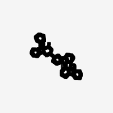 CC1CC(c2ccc3c(c2)c2ccccc2n3-c2cccc3c2oc2ccccc23)=Cc2c1n(-c1ccccc1)c1ccccc21